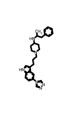 CC(Cc1ccccc1)NC1CCN(CCCc2c[nH]c3ccc(-n4cnnc4)cc23)CC1